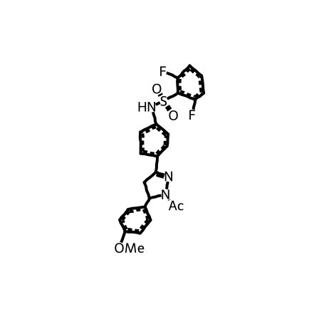 COc1ccc(C2CC(c3ccc(NS(=O)(=O)c4c(F)cccc4F)cc3)=NN2C(C)=O)cc1